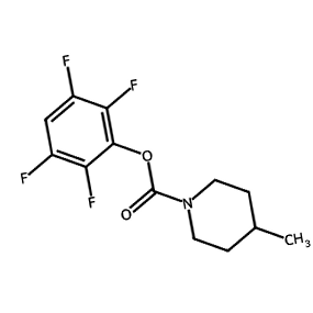 CC1CCN(C(=O)Oc2c(F)c(F)cc(F)c2F)CC1